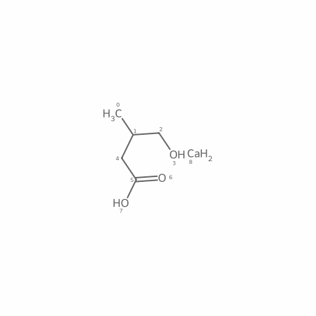 CC(CO)CC(=O)O.[CaH2]